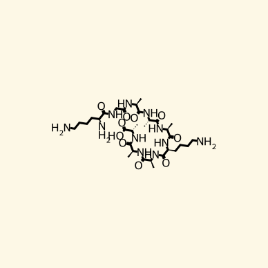 C[C@H](NC(=O)[C@H](C)NC(=O)[C@H](C)NC(=O)[C@H](CCCCN)NC(=O)[C@H](C)NC(=O)[C@H](C)NC(=O)[C@H](C)NC(=O)CNC(=O)[C@@H](N)CCCCN)C(=O)O